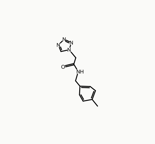 Cc1ccc(CNC(=O)Cn2cnnn2)cc1